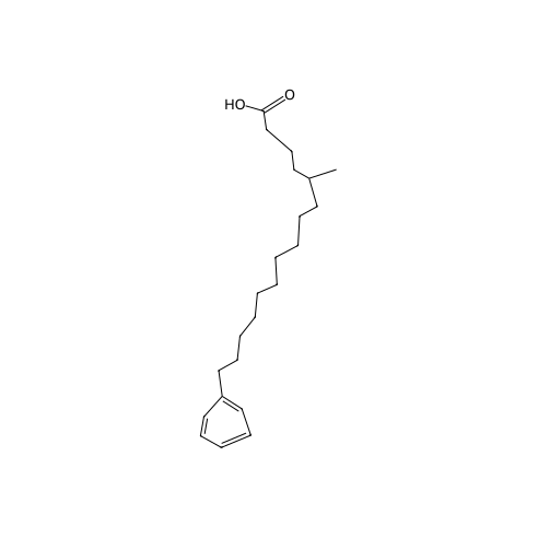 CC(CCCCCCCCCCc1ccccc1)CCCC(=O)O